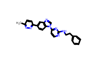 Cc1ccc(-c2ccc3c(c2)ncn3-c2ccnc(NCCc3ccccc3)n2)nn1